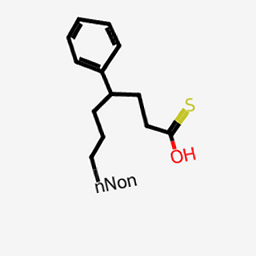 CCCCCCCCCCCCC(CCC(O)=S)c1ccccc1